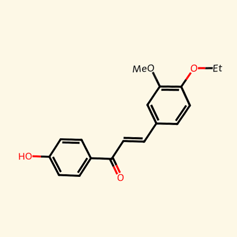 CCOc1ccc(C=CC(=O)c2ccc(O)cc2)cc1OC